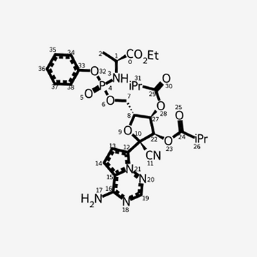 CCOC(=O)[C@H](C)NP(=O)(OC[C@H]1O[C@@](C#N)(c2ccc3c(N)ncnn23)[C@H](OC(=O)C(C)C)[C@@H]1OC(=O)C(C)C)Oc1ccccc1